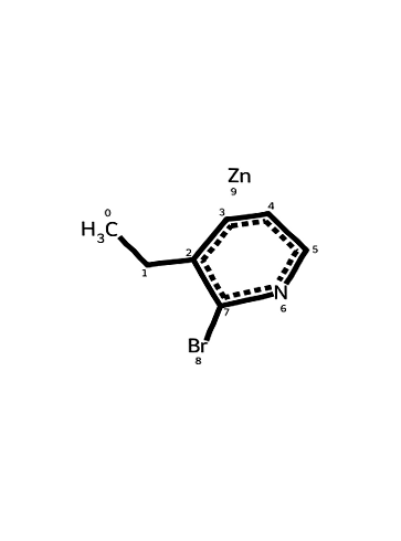 CCc1cccnc1Br.[Zn]